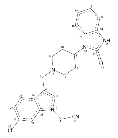 N#CCn1cc(CN2CCC(n3c(=O)[nH]c4ccccc43)CC2)c2ccc(Cl)cc21